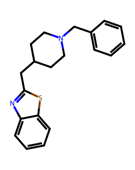 c1ccc(CN2CCC(Cc3nc4ccccc4s3)CC2)cc1